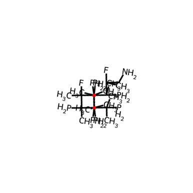 CC(C)(P)C(C)(P)C(C)(P)C(C)(F)C(C)(P)C(C)(P)C(C)(P)C(C)(P)C(C)(F)CN